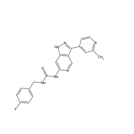 Cc1cc(-c2n[nH]c3cc(NC(=O)NCc4ccc(F)cc4)ncc23)ccn1